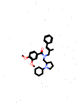 COc1ccc(C(=O)N(CC(C)=Cc2ccccc2)CC2CCCN2C2CCCCC2)cc1OC